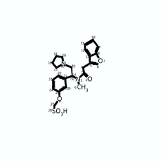 CN(C(=O)Cc1coc2ccccc12)[C@H](CN1CCCC1)c1cccc(OCS(=O)(=O)O)c1